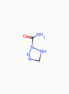 NC(=O)N1N=NCN1